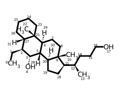 CC[C@@H]1[C@@H](O)[C@@H]2[C@H](CC[C@]3(C)[C@@H]([C@H](C)CCCO)CC[C@@H]23)[C@@]2(C)CCCC[C@@H]12